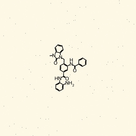 Cn1c(=O)n(Cc2ccc(C(=O)Nc3ccccc3N)cc2NC(=O)c2ccccc2)c2ccccc21